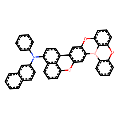 c1ccc(N(c2ccc3ccccc3c2)c2ccc3c4c(cccc24)Oc2cc4c(cc2-3)Oc2cccc3c2B4c2ccccc2O3)cc1